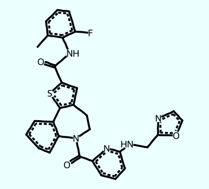 Cc1cccc(F)c1NC(=O)c1cc2c(s1)-c1ccccc1N(C(=O)c1cccc(NCc3ncco3)n1)CC2